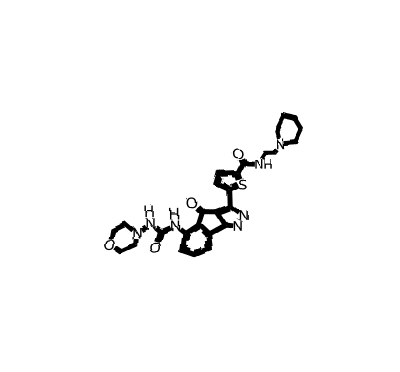 O=C(Nc1cccc2c1C(=O)C1=C(c3ccc(C(=O)NCCN4CCCCC4)s3)N=NC12)NN1CCOCC1